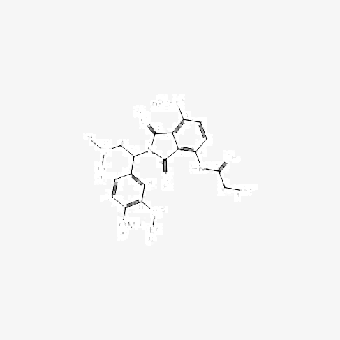 CCCCCc1ccc(NC(=O)CC(C)C)c2c1C(=O)N(C(C[S+](C)[O-])c1ccc(OC)c(OCC)c1)C2=O